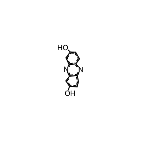 Oc1ccc2nc3ccc(O)cc3nc2c1